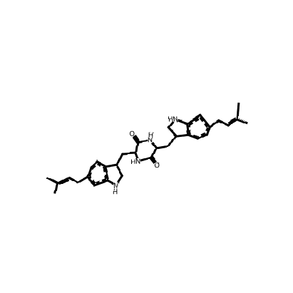 CC(C)=CCc1ccc2c(c1)NCC2CC1NC(=O)C(CC2CNc3cc(CC=C(C)C)ccc32)NC1=O